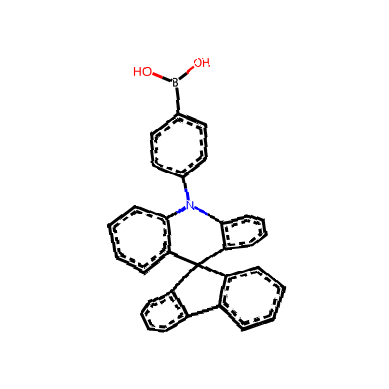 OB(O)c1ccc(N2c3ccccc3C3(c4ccccc4-c4ccccc43)c3ccccc32)cc1